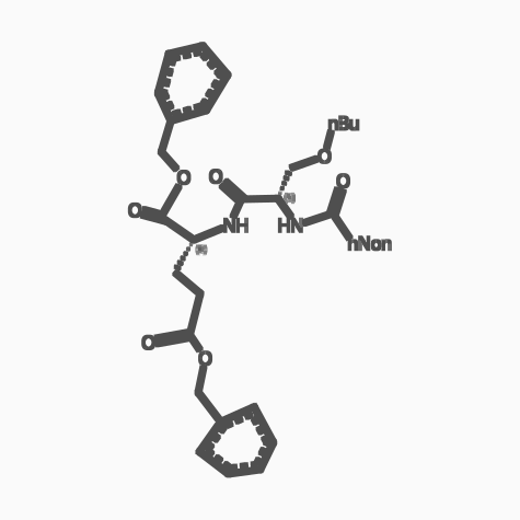 CCCCCCCCCC(=O)N[C@@H](COCCCC)C(=O)N[C@H](CCC(=O)OCc1ccccc1)C(=O)OCc1ccccc1